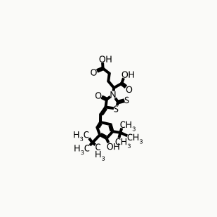 CC(C)(C)c1cc(/C=C2\SC(=S)N(C(CCC(=O)O)C(=O)O)C2=O)cc(C(C)(C)C)c1O